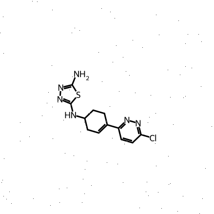 Nc1nnc(NC2CC=C(c3ccc(Cl)nn3)CC2)s1